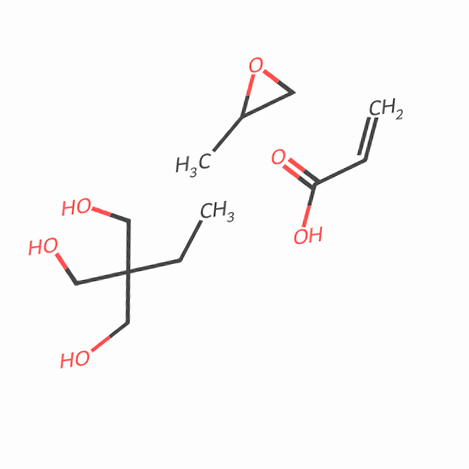 C=CC(=O)O.CC1CO1.CCC(CO)(CO)CO